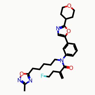 C=C(CCF)C(=O)N(CCCCCc1nc(C)no1)c1cccc(-c2cnc(C3CCOCC3)o2)c1